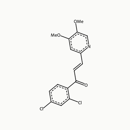 COc1cnc(C=CC(=O)c2ccc(Cl)cc2Cl)cc1OC